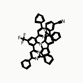 N#Cc1cccc(-c2ccc3c4ccccc4n(-c4c(-c5cc(-c6ccccc6)nc(-c6ccccc6)n5)cc(C(F)(F)F)cc4-c4cc(-c5ccccc5)nc(-c5ccccc5)n4)c3c2)c1